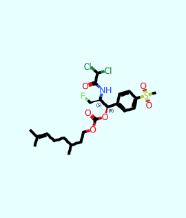 CC(C)=CCCC(C)CCOC(=O)O[C@H](c1ccc(S(C)(=O)=O)cc1)[C@@H](CF)NC(=O)C(Cl)Cl